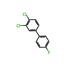 Fc1c[c]c(-c2ccc(Cl)c(Cl)c2)cc1